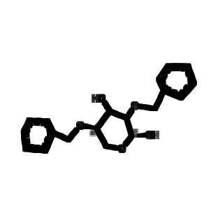 OC1C(OCc2ccccc2)[C@H](O)OC[C@H]1OCc1ccccc1